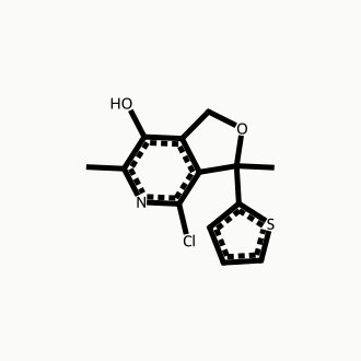 Cc1nc(Cl)c2c(c1O)COC2(C)c1cccs1